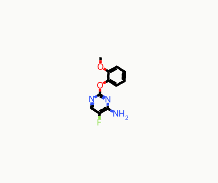 COc1ccccc1Oc1ncc(F)c(N)n1